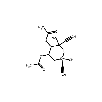 C#CC1(C)O[Si](C)(C#C)CC(OC(C)=O)C1OC(C)=O